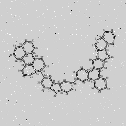 c1ccc2c(c1)ccc1c3cc4c5ccc(-c6ccc7sc8ccc(-c9ccc%10c%11cccc%12cccc(c%13cccc9c%13%10)c%12%11)cc8c7c6)cc5c5ccccc5c4cc3sc21